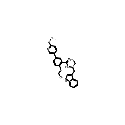 CCOc1ccc(-c2ccc(OC)nc2)cc1C(=O)N[C@@H](CO)Cc1c[nH]c2ccccc12